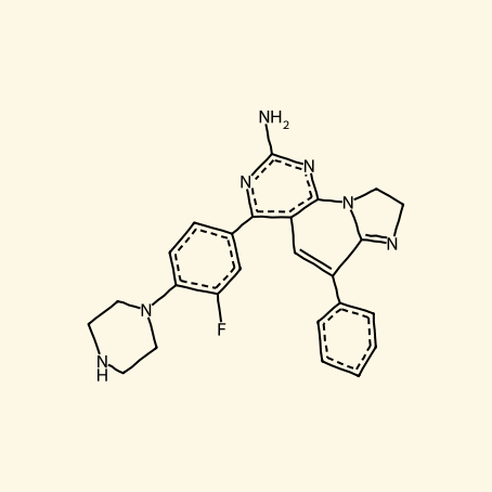 Nc1nc(-c2ccc(N3CCNCC3)c(F)c2)c2c(n1)N1CCN=C1C(c1ccccc1)=C2